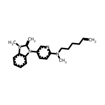 C=CCCCCN(C)c1ccc(N2C(=C)N(C)c3ccccc32)cn1